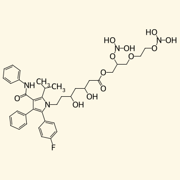 CC(C)c1c(C(=O)Nc2ccccc2)c(-c2ccccc2)c(-c2ccc(F)cc2)n1CCC(O)CC(O)CC(=O)OCC(COCCON(O)O)ON(O)O